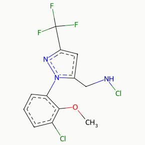 COc1c(Cl)cccc1-n1nc(C(F)(F)F)cc1CNCl